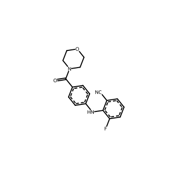 N#Cc1cccc(F)c1Nc1ccc(C(=O)N2CCOCC2)cc1